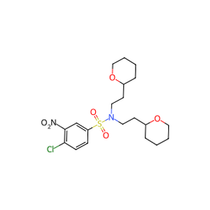 O=[N+]([O-])c1cc(S(=O)(=O)N(CCC2CCCCO2)CCC2CCCCO2)ccc1Cl